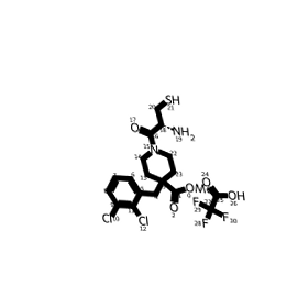 COC(=O)C1(Cc2cccc(Cl)c2Cl)CCN(C(=O)[C@@H](N)CS)CC1.O=C(O)C(F)(F)F